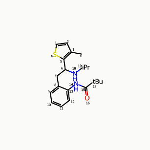 Cc1ccsc1C(Cc1ccccc1NC(=O)C(C)(C)C)NC(C)C